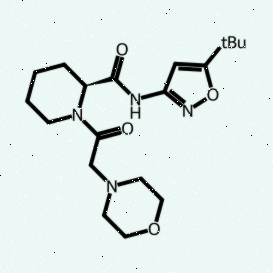 CC(C)(C)c1cc(NC(=O)[C@@H]2CCCCN2C(=O)CN2CCOCC2)no1